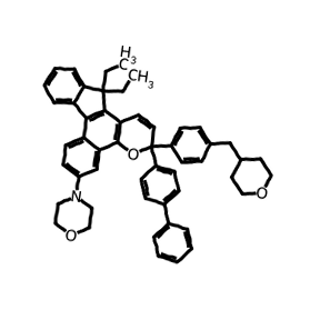 CCC1(CC)c2ccccc2-c2c1c1c(c3cc(N4CCOCC4)ccc23)OC(c2ccc(CC3CCOCC3)cc2)(c2ccc(-c3ccccc3)cc2)C=C1